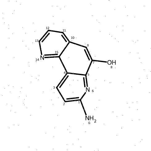 Nc1ccc2c(n1)c(O)cc1cccnc12